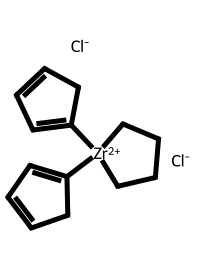 C1=CC[C]([Zr+2]2([C]3=CC=CC3)[CH2]CC[CH2]2)=C1.[Cl-].[Cl-]